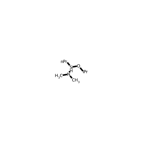 CCC[SiH](OC(C)C)N(C)C